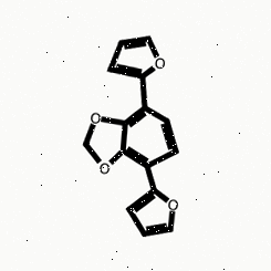 c1coc(-c2ccc(-c3ccco3)c3c2OCO3)c1